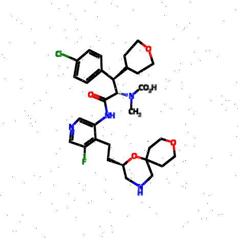 CN(C(=O)O)[C@H](C(=O)Nc1cncc(F)c1CC[C@@H]1CNCC2(CCOCC2)O1)[C@@H](c1ccc(Cl)cc1)C1CCOCC1